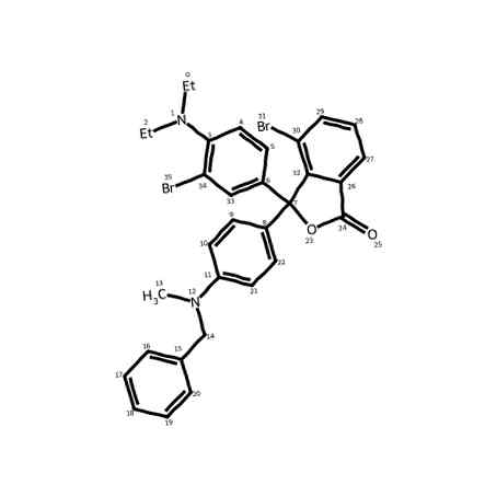 CCN(CC)c1ccc(C2(c3ccc(N(C)Cc4ccccc4)cc3)OC(=O)c3cccc(Br)c32)cc1Br